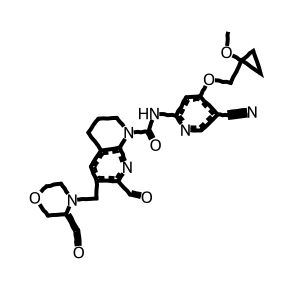 COC1(COc2cc(NC(=O)N3CCCc4cc(CN5CCOCC5=C=O)c(C=O)nc43)ncc2C#N)CC1